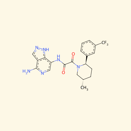 C[C@H]1CC[C@H](c2cccc(C(F)(F)F)c2)N(C(=O)C(=O)Nc2cnc(N)c3cn[nH]c23)C1